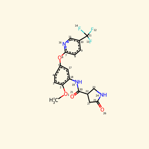 COc1ccc(Oc2ccc(C(F)(F)F)cn2)cc1NC(=O)C1CNC(=O)C1